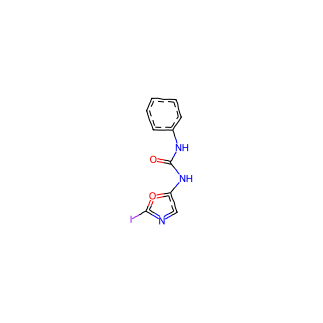 O=C(Nc1ccccc1)Nc1cnc(I)o1